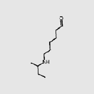 CCC(C)NCCCCCC=O